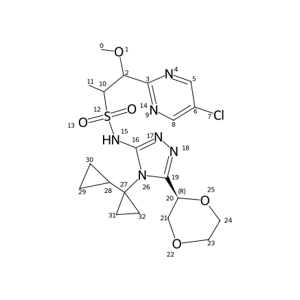 COC(c1ncc(Cl)cn1)C(C)S(=O)(=O)Nc1nnc([C@@H]2COCCO2)n1C1(C2CC2)CC1